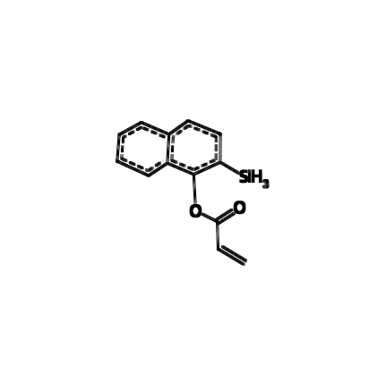 C=CC(=O)Oc1c([SiH3])ccc2ccccc12